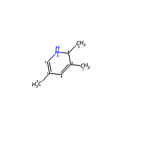 CC1=CNC(C)C(C)=C1